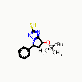 CC(C)(C)[Si](C)(C)OC1CC(c2ccccc2)n2nc(S)nc21